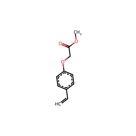 [CH]=Cc1ccc(OCC(=O)OC)cc1